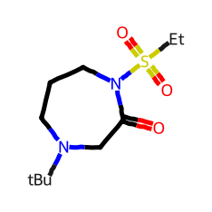 CCS(=O)(=O)N1CCCN(C(C)(C)C)CC1=O